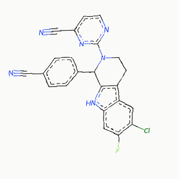 N#Cc1ccc(C2c3[nH]c4cc(F)c(Cl)cc4c3CCN2c2nccc(C#N)n2)cc1